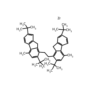 Cc1cc(C(C)(C)C)c(CCc2c(C(C)(C)C)cc(C)c3c2Cc2cc(C(C)(C)C)ccc2-3)c2c1-c1ccc(C(C)(C)C)cc1C2.[Zr]